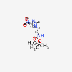 CC(C)(C)OC(=O)NCCn1cnc([N+](=O)[O-])c1